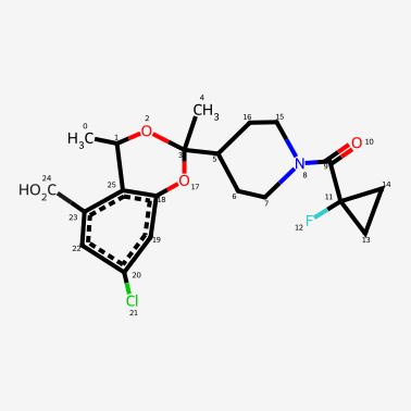 CC1OC(C)(C2CCN(C(=O)C3(F)CC3)CC2)Oc2cc(Cl)cc(C(=O)O)c21